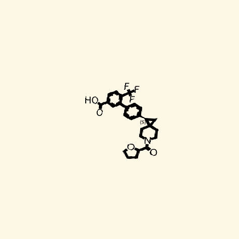 O=C(O)c1ccc(C(F)(F)F)c(-c2ccc([C@H]3CC34CCN(C(=O)C3CCCO3)CC4)cc2)c1